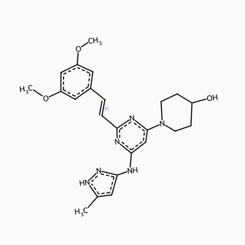 COc1cc(/C=C/c2nc(Nc3cc(C)[nH]n3)cc(N3CCC(O)CC3)n2)cc(OC)c1